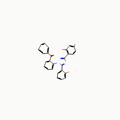 O=C(c1ccccc1)c1ccccc1-n1nc(-c2ccc(C(F)(F)F)cc2O)nc1-c1ccccc1O